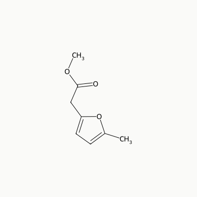 COC(=O)Cc1ccc(C)o1